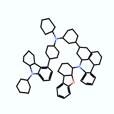 c1ccc2c(c1)OC1C2CCCC1N(c1ccccc1C1CCCCC1)C1CCCC(C2CCCC(N(C3CCCCC3)C3CCC(c4cccc5c4C4CCCCC4N5C4CCCCC4)CC3)C2)C1